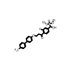 CCOP(=O)(OCC)C(O)c1ccc(C(=O)CCOc2ccc(-c3ccc(C(F)(F)F)cc3)cc2)c(F)c1